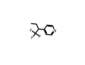 CCC(c1ccncc1)C(F)(F)F